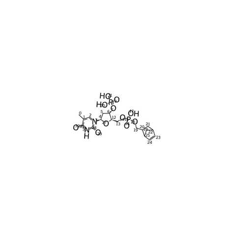 Cc1cn([C@H]2C[C@@H](OP(=O)(O)O)[C@@H](COP(=O)(O)OCC3CC4C=CC3C4)O2)c(=O)[nH]c1=O